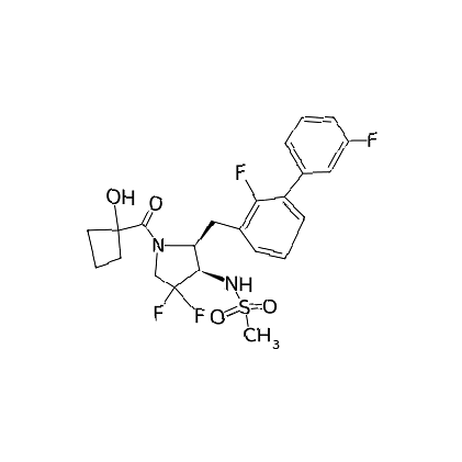 CS(=O)(=O)N[C@@H]1[C@H](Cc2cccc(-c3cccc(F)c3)c2F)N(C(=O)C2(O)CCC2)CC1(F)F